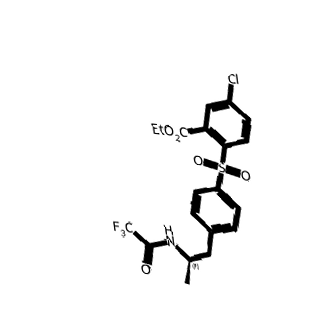 CCOC(=O)c1cc(Cl)ccc1S(=O)(=O)c1ccc(C[C@@H](C)NC(=O)C(F)(F)F)cc1